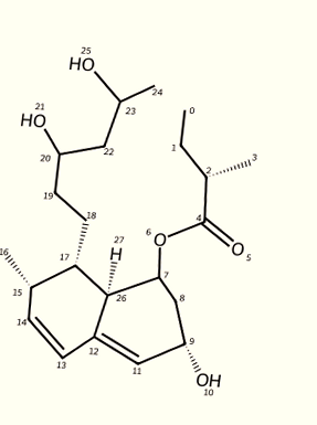 CC[C@H](C)C(=O)OC1C[C@H](O)C=C2C=C[C@H](C)[C@H](CCC(O)CC(C)O)[C@H]21